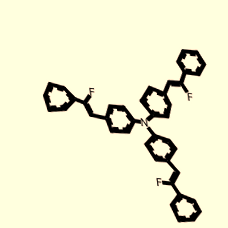 FC(=Cc1ccc(N(c2ccc(C=C(F)c3ccccc3)cc2)c2ccc(C=C(F)c3ccccc3)cc2)cc1)c1ccccc1